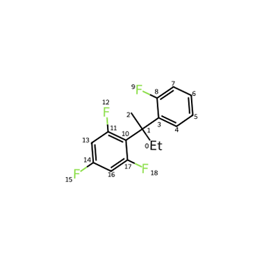 [CH2]CC(C)(c1ccccc1F)c1c(F)cc(F)cc1F